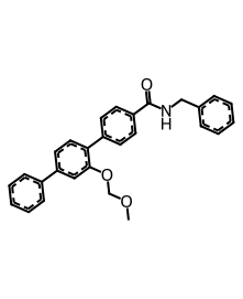 COCOc1cc(-c2ccccc2)ccc1-c1ccc(C(=O)NCc2ccccc2)cc1